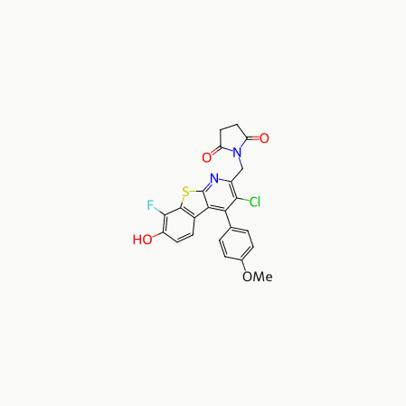 COc1ccc(-c2c(Cl)c(CN3C(=O)CCC3=O)nc3sc4c(F)c(O)ccc4c23)cc1